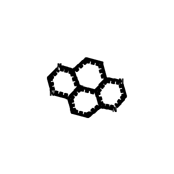 c1nc2ccc3ncnc4ccc(n1)c2c34